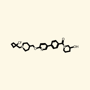 O=C(c1ccc(-c2ccc(OCC3CCN(CC4(C(F)(F)F)CCC4)CC3)nc2)cc1)N1CCCC(O)C1